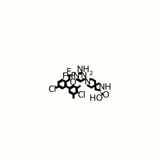 Cc1cc(-c2cc(Cl)ccc2C(Oc2cc(N3CCC4(CC3)CN[C@H](C(=O)O)C4)nc(N)n2)C(F)(F)F)cc(C)c1Cl